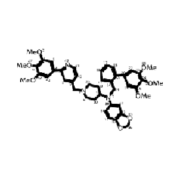 COc1cc(-c2cc(CN3CCC(N(Cc4ccccc4-c4cc(OC)c(OC)c(OC)c4)c4ccc5c(c4)OCO5)CC3)ccn2)cc(OC)c1OC